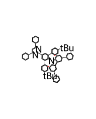 CC(C)(C)c1ccc(-c2cc(-c3nc(-c4ccccc4)cc(-c4ccccc4)n3)cc(-c3ccc(C(C)(C)C)cc3)c2-n2c3ccc(-c4ccccc4)cc3c3cc(-c4ccccc4)ccc32)cc1